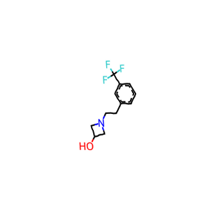 OC1CN(CCc2cccc(C(F)(F)F)c2)C1